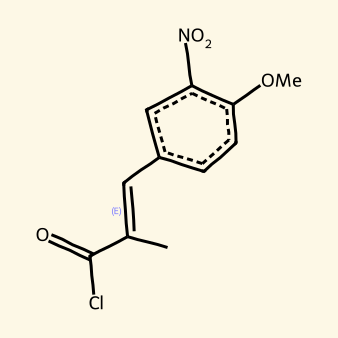 COc1ccc(/C=C(\C)C(=O)Cl)cc1[N+](=O)[O-]